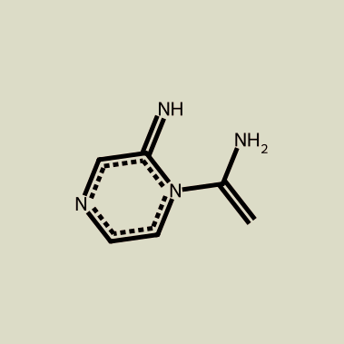 C=C(N)n1ccncc1=N